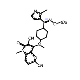 CN(c1c(C#N)c(=O)n(C)c2ccc(C#N)nc12)C1CCC(/C(=N\OC(C)(C)C)c2ccnn2C)CC1